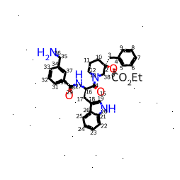 CCOC(=O)O[C@]1(Cc2ccccc2)CCCN(C(=O)[C@@H](Cc2c[nH]c3ccccc23)NC(=O)c2cccc(CN)c2)C1